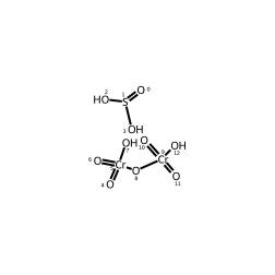 O=S(O)O.[O]=[Cr](=[O])([OH])[O][Cr](=[O])(=[O])[OH]